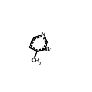 Br.Cc1ccncc1